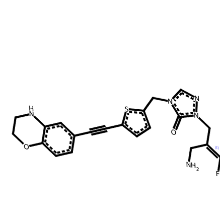 NC/C(=C\F)Cn1ncn(Cc2ccc(C#Cc3ccc4c(c3)NCCO4)s2)c1=O